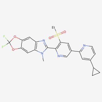 CCS(=O)(=O)c1cc(-c2cc(C3CC3)ccn2)cnc1-c1nc2cc3c(cc2n1C)OC(F)(F)O3